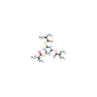 C=C(C)C(=O)Sc1nc(SC(=O)C(=C)C)nc(SC(=O)C(=C)C)n1